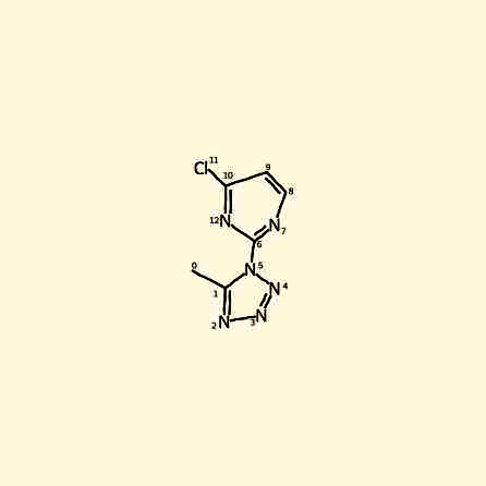 Cc1nnnn1-c1nccc(Cl)n1